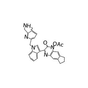 CC(=O)On1c(=O)c(-c2cn(Cc3cccc(CN)n3)c3ccccc23)nc2cc3c(cc21)CCC3